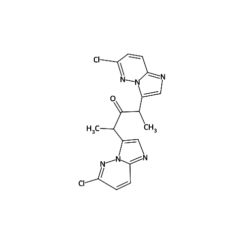 CC(C(=O)C(C)c1cnc2ccc(Cl)nn12)c1cnc2ccc(Cl)nn12